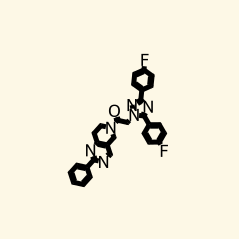 O=C(Cn1nc(-c2ccc(F)cc2)nc1-c1ccc(F)cc1)N1CCc2nc(-c3ccccc3)ncc2C1